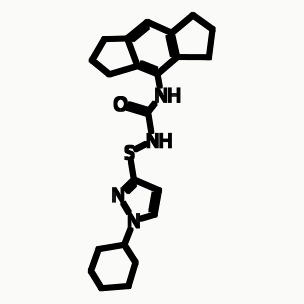 O=C(NSc1ccn(C2CCCCC2)n1)Nc1c2c(cc3c1CCC3)CCC2